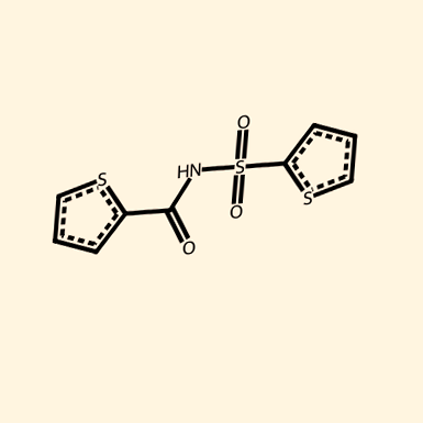 O=C(NS(=O)(=O)c1cccs1)c1cccs1